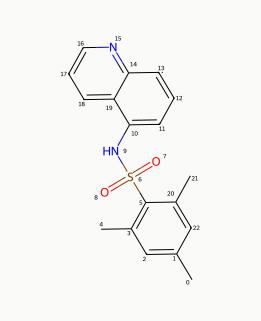 Cc1cc(C)c(S(=O)(=O)Nc2cc[c]c3ncccc23)c(C)c1